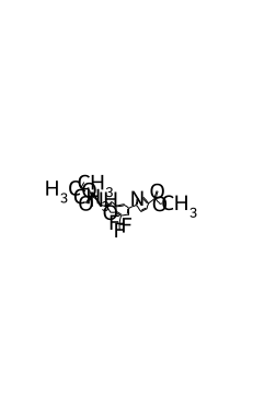 COC(=O)c1ccc(-c2cc(C(F)(F)F)c3oc(CNC(=O)OC(C)(C)C)cc3c2)nc1